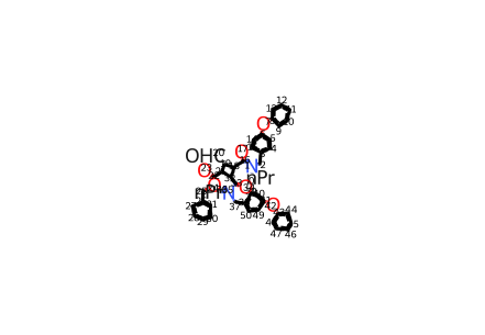 CCCN(Cc1ccc(Oc2ccccc2)cc1)C(=O)C1C(C=O)C(C(=O)OCc2ccccc2)C1C(=O)N(CCC)Cc1ccc(Oc2ccccc2)cc1